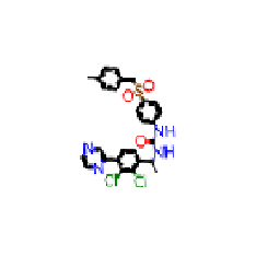 Cc1ccc(CS(=O)(=O)c2ccc(NC(=O)N[C@@H](C)c3ccc(-c4cnccn4)c(Cl)c3Cl)cc2)cc1